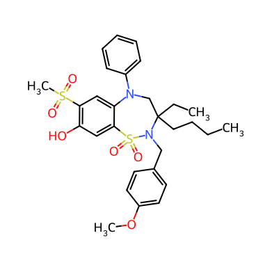 CCCCC1(CC)CN(c2ccccc2)c2cc(S(C)(=O)=O)c(O)cc2S(=O)(=O)N1Cc1ccc(OC)cc1